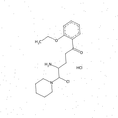 CCOc1ccccc1C(=O)CCC(N)C(Cl)N1CCCCC1.Cl